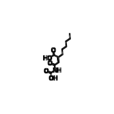 CCCCCCC(=CC(=O)NC(=O)O)C(=O)O